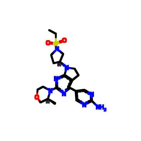 CCS(=O)(=O)N1CC[C@H](N2CCc3c(-c4cnc(N)nc4)nc(N4CCOC[C@@H]4C)nc32)C1